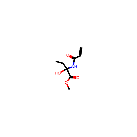 C=CC(=O)NC(O)(CC)C(=O)OC